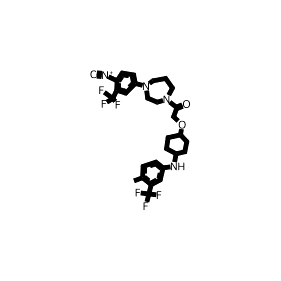 [C-]#[N+]c1ccc(N2CCCN(C(=O)COC3CCC(Nc4ccc(C)c(C(F)(F)F)c4)CC3)CC2)cc1C(F)(F)F